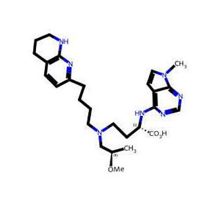 CO[C@H](C)CN(CCCCc1ccc2c(n1)NCCC2)CC[C@H](Nc1ncnc2c1ccn2C)C(=O)O